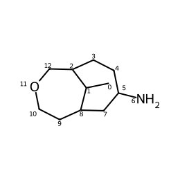 CC1C2CCC(N)CC1CCOC2